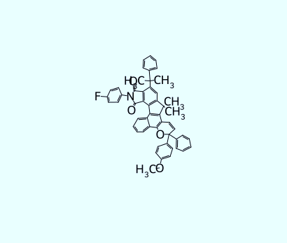 COc1ccc(C2(c3ccccc3)C=Cc3c4c(c5ccccc5c3O2)-c2c(cc(C(C)(C)c3ccccc3)c3c2C(=O)N(c2ccc(F)cc2)C3=O)C4(C)C)cc1